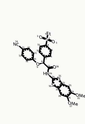 CCS(=O)(=O)c1ccc([C@H](Oc2ccc(C#N)cc2)C(=O)Nc2nc3cc(OC)c(OC)cc3s2)cc1